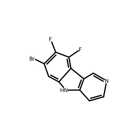 Fc1c(Br)cc2[nH]c3ccncc3c2c1F